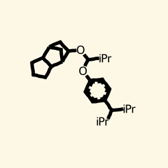 CC(C)C(Oc1ccc(C(C(C)C)C(C)C)cc1)OC1CC2CC1C1CCCC21